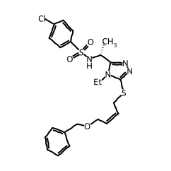 CCn1c(SC/C=C\COCc2ccccc2)nnc1[C@@H](C)NS(=O)(=O)c1ccc(Cl)cc1